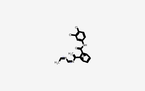 C=C(/N=C\N=C/C)c1c(C(=O)Nc2ccc(Cl)c(Cl)c2)c2ccc1o2